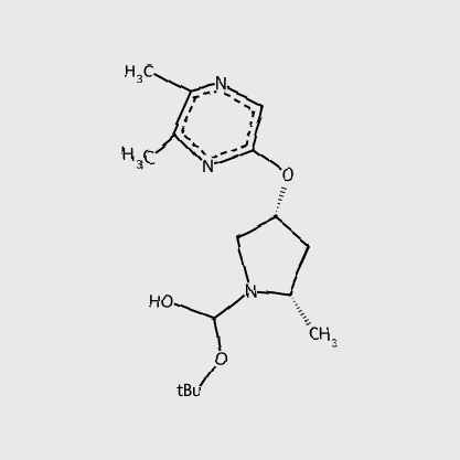 Cc1ncc(O[C@@H]2C[C@H](C)N(C(O)OC(C)(C)C)C2)nc1C